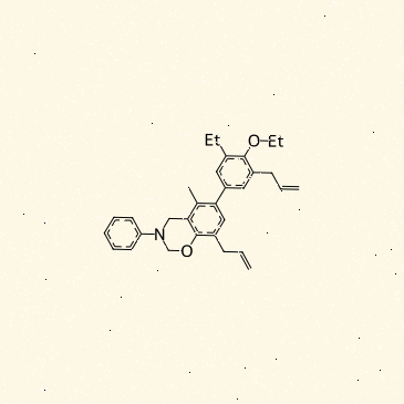 C=CCc1cc(-c2cc(CC=C)c3c(c2C)CN(c2ccccc2)CO3)cc(CC)c1OCC